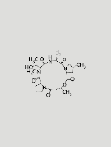 CC1CC2C(=O)OC(C)CC(=O)N3CCCC3C(=O)N(C)C(C(C)O)C(=O)NC(C)C(=O)N2C1